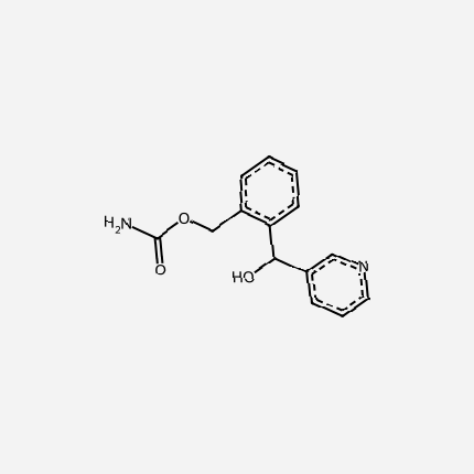 NC(=O)OCc1ccccc1C(O)c1cccnc1